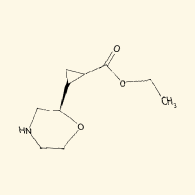 CCOC(=O)C1CC1[C@@H]1CNCCO1